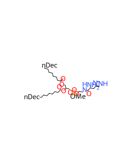 CCCCCCCCCCCCCCCCCC(=O)OCC(COP(=O)(OC)OCCNC(=O)C(N)Cc1c[nH]cn1)OC(=O)CCCCCCCCCCCCCCCCC